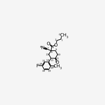 CCCOC(=O)C1(C#N)CCC(=O)C(c2cc(F)ccc2C)C1